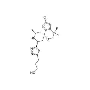 C[C@H]1C[C@@]2(C[C@@H](c3cn(CCCO)nn3)N1)OCC(F)(F)c1cc(Cl)sc12